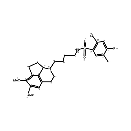 COc1cc2c3c(c1OC)CCC3N(CCCCNS(=O)(=O)c1cc(C)c(F)cc1Cl)CC2